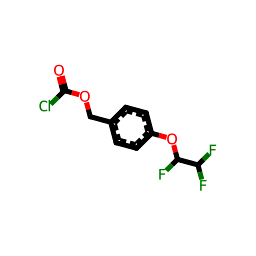 O=C(Cl)OCc1ccc(OC(F)C(F)F)cc1